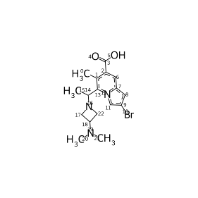 Cc1c(C(=O)O)cc2cc(Br)cn2c1C(C)N1CC(N(C)C)C1